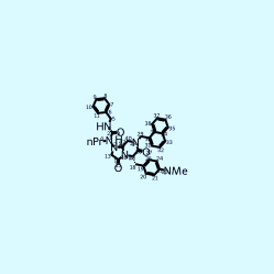 CCCN(C(=O)NCc1ccccc1)N1CC(=O)N2[C@@H](Cc3ccc(NC)cc3)C(=O)N(Cc3cccc4ccccc34)C[C@@H]21